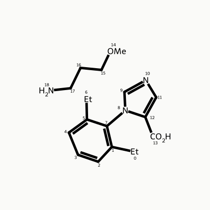 CCc1cccc(CC)c1-n1cncc1C(=O)O.COCCCN